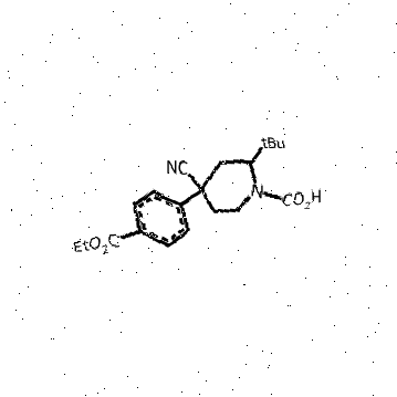 CCOC(=O)c1ccc(C2(C#N)CCN(C(=O)O)C(C(C)(C)C)C2)cc1